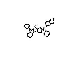 c1ccc(-n2c3ccccc3c3c4cc5c6ccccc6n(-c6ccc7ccccc7c6)c5cc4sc32)cc1